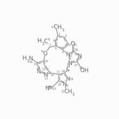 Cc1ccc2c(c1)[C@@H](C)Oc1cc(nnc1N)-c1c(nn(C)c1C#N)Cn1c(O)nc(=O)n1-2